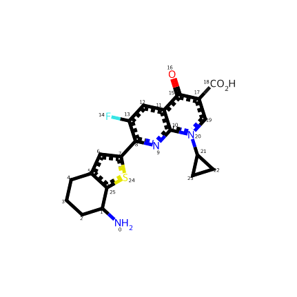 NC1CCCc2cc(-c3nc4c(cc3F)c(=O)c(C(=O)O)cn4C3CC3)sc21